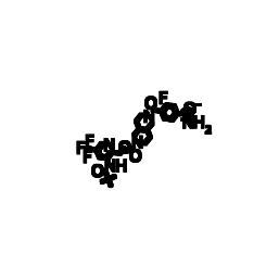 CC(C)(C)C(=O)Nc1cc(C(F)(F)F)cnc1COC(=O)N1CCC2=C(CCN(C(=O)c3ccc([S+](N)[O-])cc3F)C2)C1